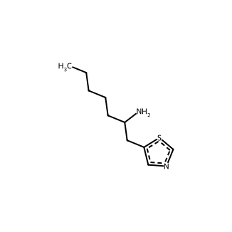 CCCCCC(N)Cc1cncs1